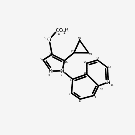 O=C(O)Oc1cnn(-c2cccc3ncccc23)c1C1CC1